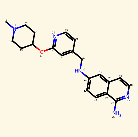 CN1CCC(Oc2cc(CNc3ccc4c(N)nccc4c3)ccn2)CC1